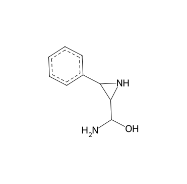 NC(O)C1NC1c1ccccc1